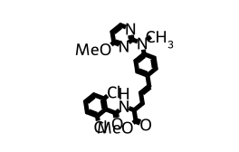 COC(=O)C(C/C=C/c1ccc(N(C)c2nccc(OC)n2)cc1)NC(=O)c1c(Cl)cccc1Cl